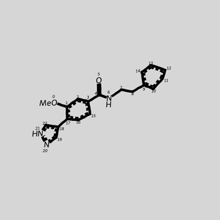 COc1cc(C(=O)NCCc2ccccc2)ccc1-c1cn[nH]c1